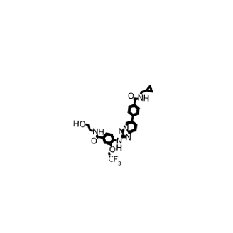 O=C(NCCO)c1ccc(Nc2nc3ccc(-c4ccc(C(=O)NCC5CC5)cc4)cn3n2)c(OCC(F)(F)F)c1